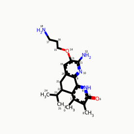 Cc1c2c([nH]c(=O)c1C)-c1nc(N)c(OCCCN)cc1CC2C(C)C